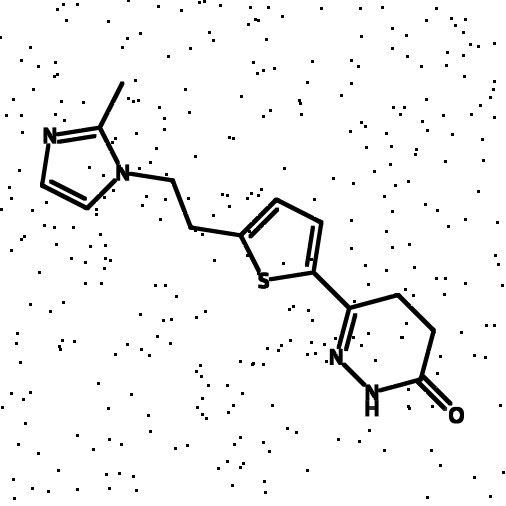 Cc1nccn1CCc1ccc(C2=NNC(=O)CC2)s1